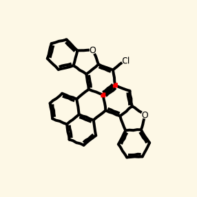 Clc1ccc(-c2cccc3cccc(-c4cccc5oc6ccccc6c45)c23)c2c1oc1ccccc12